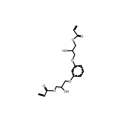 C=CC(=O)OCC(O)COc1cccc(OCC(O)COC(=O)C=C)c1